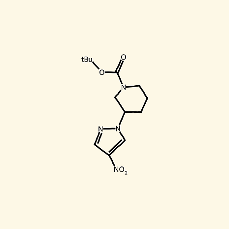 CC(C)(C)OC(=O)N1CCCC(n2cc([N+](=O)[O-])cn2)C1